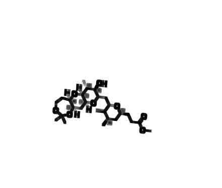 C=C1C(CC2O[C@H]3C[C@H]4OC(C)(C)OCC[C@H]4O[C@H]3[C@H](C)[C@H]2O)O[C@@H](CCC(=O)OC)C[C@H]1C